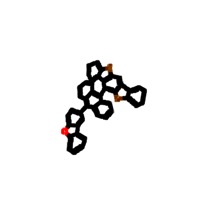 c1ccc2c(c1)oc1ccc(-c3c4ccccc4c(-c4c5sc6ccccc6c5cc5sc6ccccc6c45)c4ccccc34)cc12